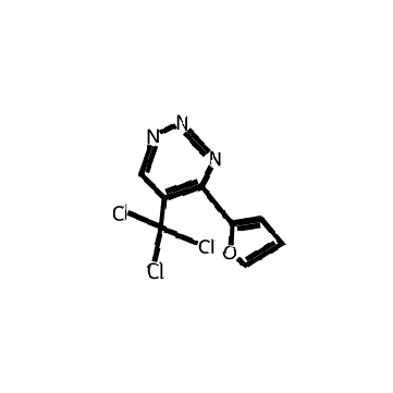 ClC(Cl)(Cl)c1cnnnc1-c1ccco1